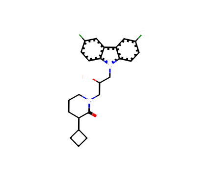 O=C1C(C2CCC2)CCCN1CC(O)Cn1c2ccc(F)cc2c2cc(F)ccc21